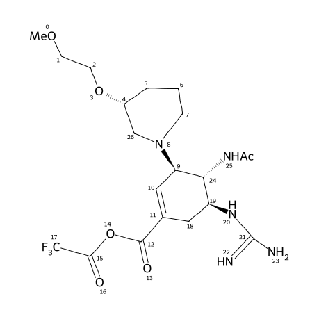 COCCO[C@@H]1CCCN([C@@H]2C=C(C(=O)OC(=O)C(F)(F)F)C[C@H](NC(=N)N)[C@H]2NC(C)=O)C1